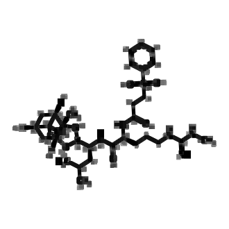 CNC(=N)NCCC[C@H](NC(=O)CCS(=O)(=O)c1ccccc1)C(=O)N[C@@H](CC(C)C)B1O[C@@H]2C[C@@H]3C[C@@H](C3(C)C)[C@]2(C)O1